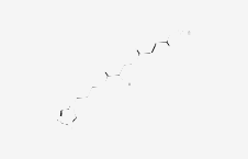 COC(=O)/C=C/C(=O)OCC(O)C(=O)OCCCn1cnnc1